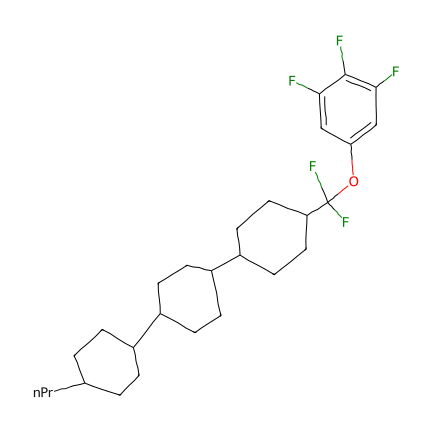 CCCC1CCC(C2CCC(C3CCC(C(F)(F)Oc4cc(F)c(F)c(F)c4)CC3)CC2)CC1